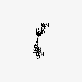 CC(C)(C(=O)Nc1ccc(C#N)c(Br)c1)n1cc(C#CC2CN(c3ccc4c(c3)C(=O)N(C3CCC(=O)NC3=O)C4=O)C2)cn1